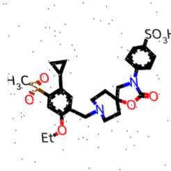 CCOc1cc(S(C)(=O)=O)c(C2CC2)cc1CN1CCC2(CC1)CN(c1ccc(S(=O)(=O)O)cc1)C(=O)O2